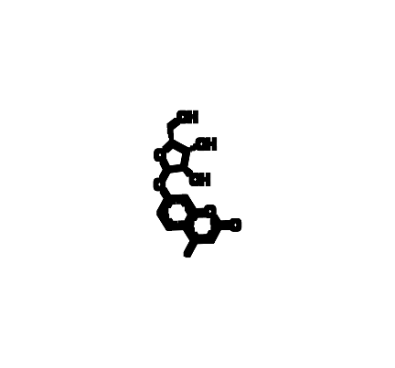 Cc1cc(=O)oc2cc(OC3O[C@H](CO)[C@H](O)[C@H]3O)ccc12